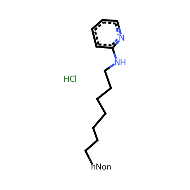 CCCCCCCCCCCCCCCCNc1ccccn1.Cl